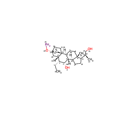 CC[C@H]1[C@@H](O)[C@@H]2[C@H](CC[C@]3(C)C([C@H](C)CO)CC[C@@H]23)[C@@]2(C)CC[C@@H](OP)C[C@@H]12